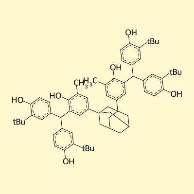 Cc1cc(C23CC4CC(C2)CC(c2cc(C)c(O)c(C(c5ccc(O)c(C(C)(C)C)c5)c5ccc(O)c(C(C)(C)C)c5)c2)(C4)C3)cc(C(c2ccc(O)c(C(C)(C)C)c2)c2ccc(O)c(C(C)(C)C)c2)c1O